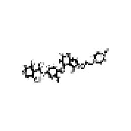 Cc1c(OCCN2CCN(C)CC2)cn2ncnc(Oc3ccc(NC(=O)c4c(Cl)cncc4Cl)cc3F)c12